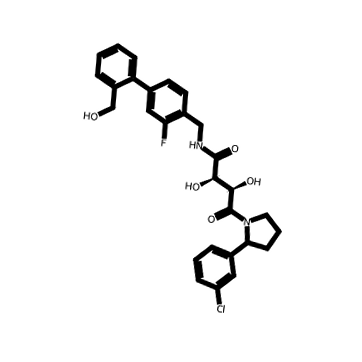 O=C(NCc1ccc(-c2ccccc2CO)cc1F)[C@H](O)[C@@H](O)C(=O)N1CCCC1c1cccc(Cl)c1